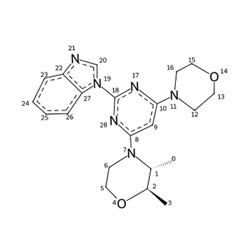 C[C@@H]1[C@@H](C)OCCN1c1cc(N2CCOCC2)nc(-n2cnc3ccccc32)n1